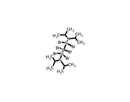 CC(C)N(C(C)C)[Si](Br)(Br)[Si](Br)(Br)[Si](Br)(Br)N(C(C)C)C(C)C